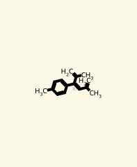 C=C(C)/C=C(\C(=C)C)c1ccc(C)cc1